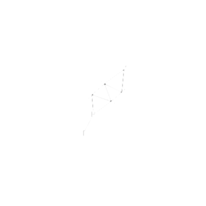 IB1C2C34CC3C124